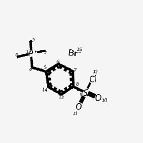 C[P+](C)(C)Cc1ccc(S(=O)(=O)Cl)cc1.[Br-]